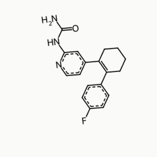 NC(=O)Nc1cc(C2=C(c3ccc(F)cc3)CCCC2)ccn1